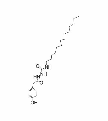 CCCCCCCCCCCCCCNC(=O)NNC(=O)Cc1ccc(O)cc1